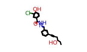 CCC(O)CC#Cc1cccc(/C=N/NC(=O)c2ccc(O)c(Cl)c2)c1